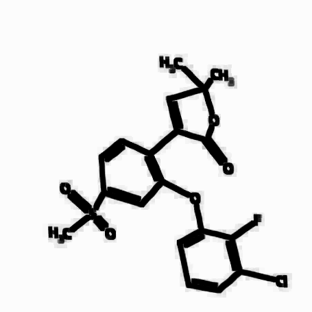 CC1(C)C=C(c2ccc(S(C)(=O)=O)cc2Oc2cccc(Cl)c2F)C(=O)O1